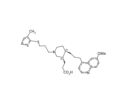 COc1ccc2nccc(CCC[C@@H]3CCN(CCCSc4sccc4C)C[C@@H]3CCC(=O)O)c2c1